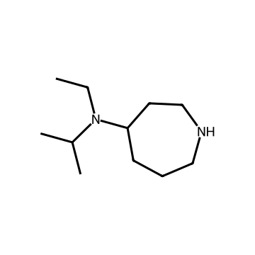 CCN(C(C)C)C1CCCNCC1